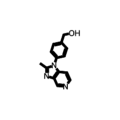 Cc1nc2cnccc2n1-c1ccc(CO)cc1